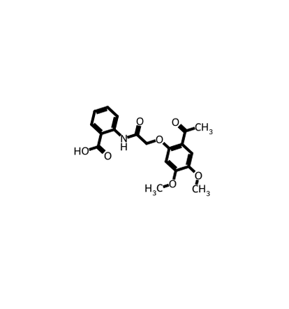 COc1cc(OCC(=O)Nc2ccccc2C(=O)O)c(C(C)=O)cc1OC